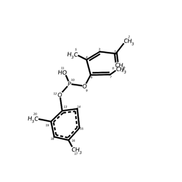 C=C(C)/C=C(C)\C(=C/C)OP(O)Oc1ccc(C)cc1C